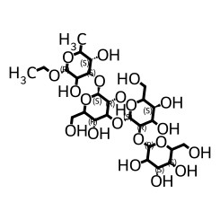 CCO[C@@H]1OC(C)[C@H](O)[C@H](O[C@@H]2OC(CO)[C@@H](O)C(O[C@@H]3OC(CO)[C@@H](O)C(O)[C@H]3O[C@H]3OC(CO)[C@@H](O)[C@H](O)C3O)[C@H]2O)C1O